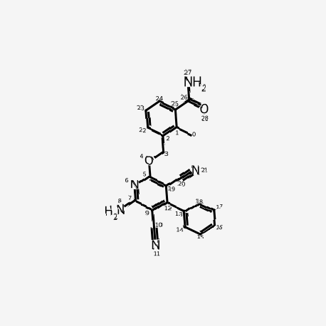 Cc1c(COc2nc(N)c(C#N)c(-c3ccccc3)c2C#N)cccc1C(N)=O